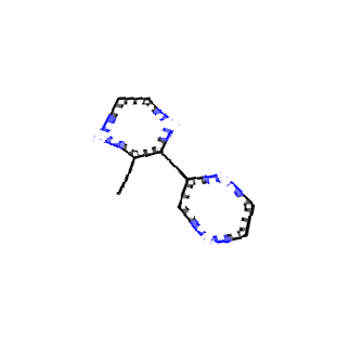 Cc1nccnc1-c1cnccn1